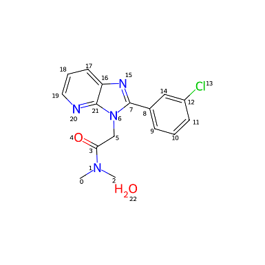 CN(C)C(=O)Cn1c(-c2cccc(Cl)c2)nc2cccnc21.O